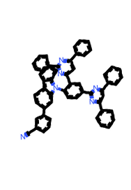 N#Cc1cccc(-c2ccc3c4ccccc4n(-c4ccc(-c5nc(-c6ccccc6)cc(-c6ccccc6)n5)cc4-c4cc(-c5ccccc5)nc(-c5ccccc5)n4)c3c2)c1